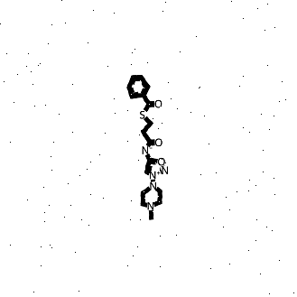 CN1CCN([n+]2cc([N-]C(=O)CCSC(=O)c3ccccc3)on2)CC1